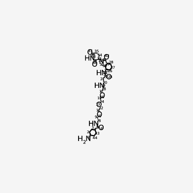 Nc1ccc(C(=O)NCCOCCOCCOCCNCCC(=O)Nc2cccc3c2CN(C2CCC(=O)NC2=O)C3=O)cc1